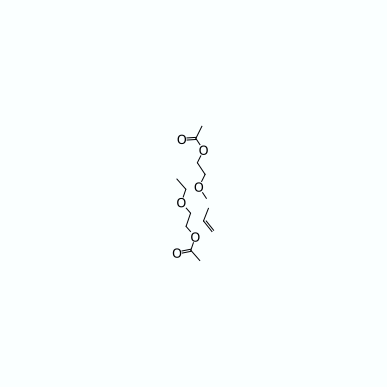 C=CC.CCOCCOC(C)=O.COCCOC(C)=O